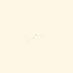 COc1nc(NCC2CCC(F)(F)CC2)c(F)cc1CNC(=O)[C@@H]1CCCN1